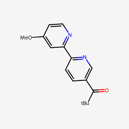 COc1ccnc(-c2ccc(C(=O)C(C)(C)C)cn2)c1